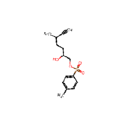 C#CC(CCC(O)COS(=O)(=O)c1ccc(C)cc1)OC(C)=O